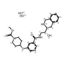 COC(=O)N1CCC(Oc2cncc(C(=O)NC[C@@H](O)[C@@H]3Cc4ccccc4CN3)c2)CC1.Cl.Cl